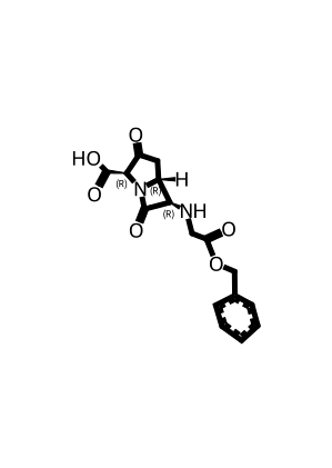 O=C(CN[C@H]1C(=O)N2[C@@H](C(=O)O)C(=O)C[C@H]12)OCc1ccccc1